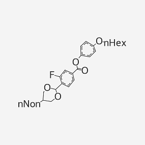 CCCCCCCCCC1COC(c2ccc(C(=O)Oc3ccc(OCCCCCC)cc3)cc2F)OC1